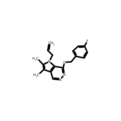 C=CCn1c(C)c(C)c2cnnc(OCc3ccc(F)cc3)c21